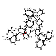 CC1(C)CCC(C)(C)c2c(-c3ccc(-c4cc5c(cc4N(c4ccccc4)c4ccc6c7ccccc7c7ccccc7c6c4)C(c4ccccc4)(c4ccccc4)c4ccccc4-5)cc3)cccc21